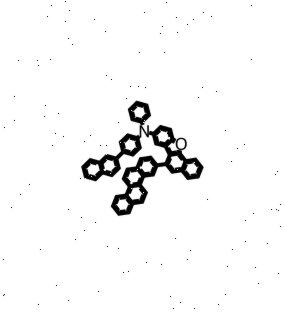 c1ccc(N(c2ccc(-c3ccc4ccccc4c3)cc2)c2ccc3oc4c5ccccc5cc(-c5ccc6ccc7c8ccccc8ccc7c6c5)c4c3c2)cc1